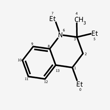 CCC1CC(C)(CC)N(CC)c2ccccc21